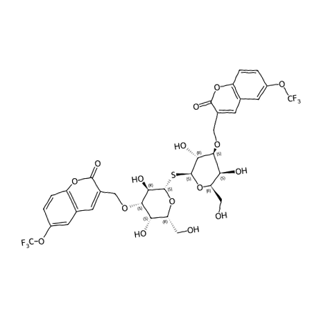 O=c1oc2ccc(OC(F)(F)F)cc2cc1CO[C@H]1[C@@H](O)[C@@H](CO)O[C@@H](S[C@@H]2O[C@H](CO)[C@H](O)[C@H](OCc3cc4cc(OC(F)(F)F)ccc4oc3=O)[C@H]2O)[C@@H]1O